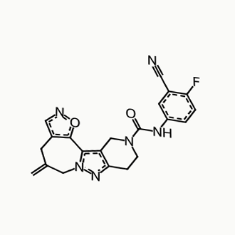 C=C1Cc2cnoc2-c2c3c(nn2C1)CCN(C(=O)Nc1ccc(F)c(C#N)c1)C3